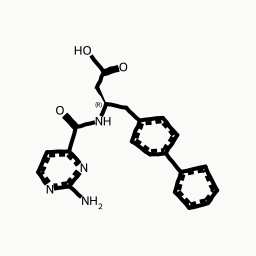 Nc1nccc(C(=O)N[C@@H](CC(=O)O)Cc2ccc(-c3ccccc3)cc2)n1